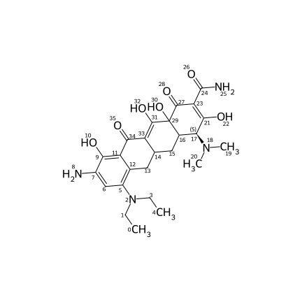 CCN(CC)c1cc(N)c(O)c2c1CC1CC3[C@H](N(C)C)C(O)=C(C(N)=O)C(=O)C3(O)C(O)=C1C2=O